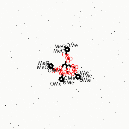 COc1ccc(C(=O)OOC(=O)OCCC(COC(=O)OOC(=O)c2ccc(OC)c(OC)c2OC)C(CCOC(=O)OOC(=O)c2ccc(OC)c(OC)c2OC)COC(=O)OOC(=O)c2ccc(OC)c(OC)c2OC)c(OC)c1OC